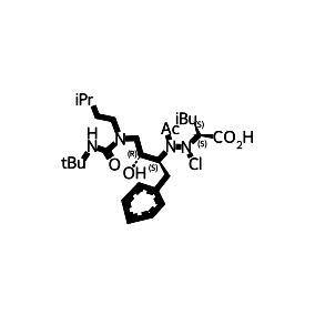 CC[C@H](C)[C@@H](C(=O)O)N(Cl)N(C(C)=O)[C@@H](Cc1ccccc1)[C@H](O)CN(CCC(C)C)C(=O)NC(C)(C)C